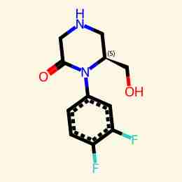 O=C1CNC[C@@H](CO)N1c1ccc(F)c(F)c1